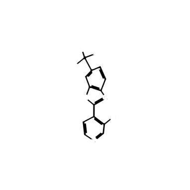 FC(F)(F)c1ccc2nc(-c3ccncc3Cl)sc2c1